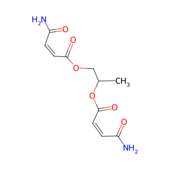 CC(COC(=O)/C=C\C(N)=O)OC(=O)/C=C\C(N)=O